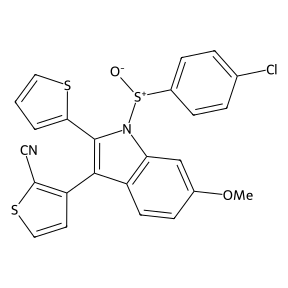 COc1ccc2c(-c3ccsc3C#N)c(-c3cccs3)n([S+]([O-])c3ccc(Cl)cc3)c2c1